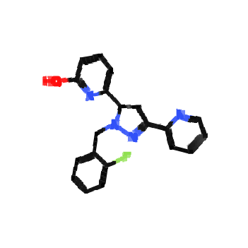 Oc1cccc(C2CC(c3ccccn3)=NN2Cc2ccccc2F)n1